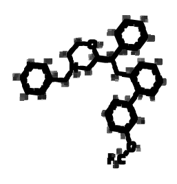 FC(F)(F)Oc1cccc(-c2ccccc2C/C(=C2\CN(Cc3ccccc3)CCO2)c2ccccc2)c1